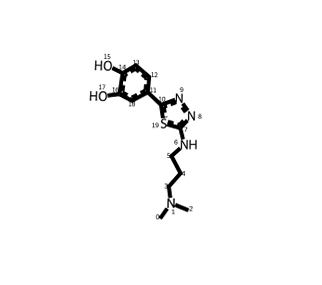 CN(C)CCCNc1nnc(-c2ccc(O)c(O)c2)s1